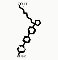 CCCCCCc1cnc(-c2ccc(-c3ccc(C4(CCCCCCCC(=O)O)CCCC4)cc3)cc2)nc1